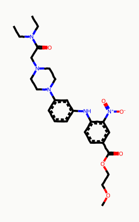 CCN(CC)C(=O)CN1CCN(c2cccc(Nc3ccc(C(=O)OCCOC)cc3[N+](=O)[O-])c2)CC1